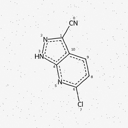 N#Cc1n[nH]c2nc(Cl)ccc12